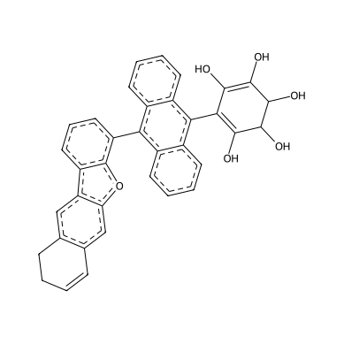 OC1=C(O)C(O)C(O)C(O)=C1c1c2ccccc2c(-c2cccc3c2oc2cc4c(cc23)CCC=C4)c2ccccc12